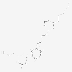 CCCCCCCCC(/C=C/C=C/c1cccc(C(CCCCO)OC(C)=O)c1)OC(C)=O